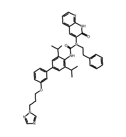 CC(C)c1cc(-c2cccc(OCCCn3cncn3)c2)cc(C(C)C)c1NC(=O)N(CCc1ccccc1)c1cc2cccnc2[nH]c1=O